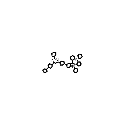 c1ccc(-c2ccc(-c3cc(-c4ccc(-c5ccc6c(c5)c5c(n6-c6ccccc6)-c6ccccc6N(c6ccccc6)c6ccccc6-5)cc4)nc(-c4ccccc4)n3)cc2)cc1